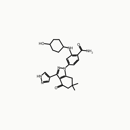 CC1(C)CC(=O)c2c(-c3cn[nH]c3)nn(-c3ccc(C(N)=O)c(NC4CCC(O)CC4)c3)c2C1